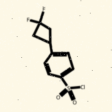 O=S(=O)(Cl)c1ccc(C2CC(F)(F)C2)cc1